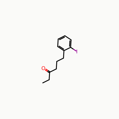 CCC(=O)CCCc1ccccc1I